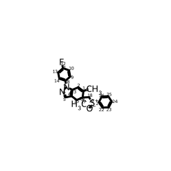 CC1=Cc2c(cnn2-c2ccc(F)cc2)C[C@]1(C)C[S+]([O-])c1ccccc1